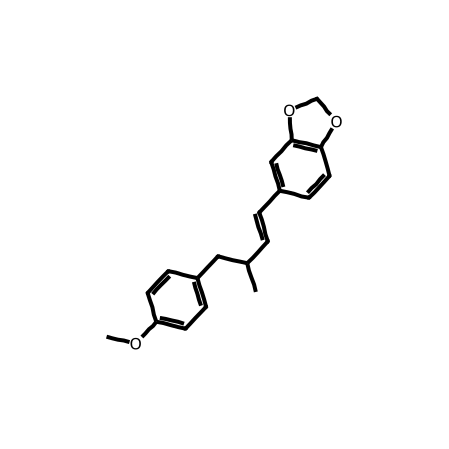 COc1ccc(CC(C)/C=C/c2ccc3c(c2)OCO3)cc1